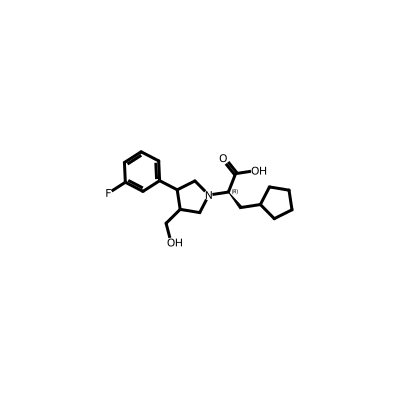 O=C(O)[C@@H](CC1CCCC1)N1CC(CO)C(c2cccc(F)c2)C1